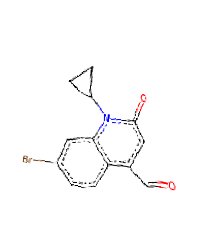 O=Cc1cc(=O)n(C2CC2)c2cc(Br)ccc12